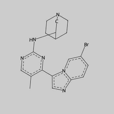 Cc1cnc(NC2CN3CCC2CC3)nc1-c1cnc2ccc(Br)cn12